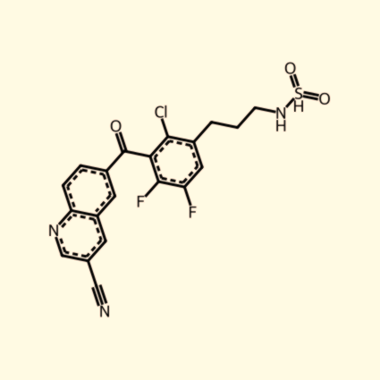 N#Cc1cnc2ccc(C(=O)c3c(F)c(F)cc(CCCN[SH](=O)=O)c3Cl)cc2c1